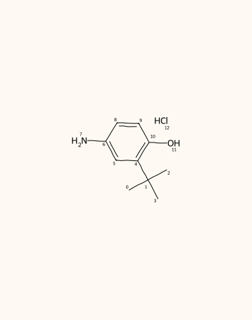 CC(C)(C)c1cc(N)ccc1O.Cl